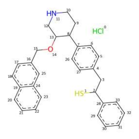 Cl.SC(Cc1ccc(C2CCNCC2OCc2ccc3ccccc3c2)cc1)c1ccccc1